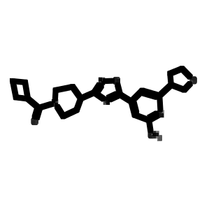 Cc1cc(-c2nc(C3CCN(C(=O)C4CCC4)CC3)no2)cc(C2CCOC2)n1